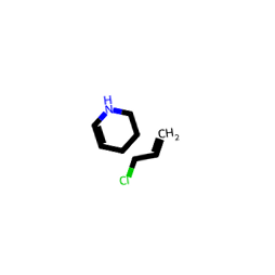 C1=CNCCC1.C=CCCl